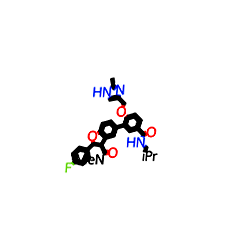 CNC(=O)C1c2cc(-c3cc(C(=O)NCC(C)C)ccc3OCc3c[nH]c(C)n3)ccc2OC1c1ccc(F)cc1